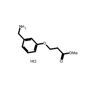 COC(=O)CCOc1cccc(CN)c1.Cl